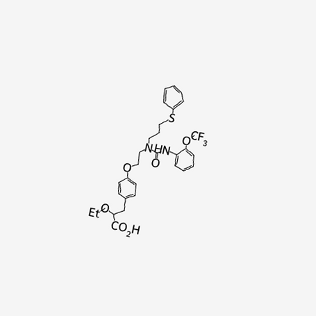 CCOC(Cc1ccc(OCCN(CCCSc2ccccc2)C(=O)Nc2ccccc2OC(F)(F)F)cc1)C(=O)O